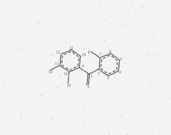 C=C(c1ccccc1C)c1cccc(C)c1C